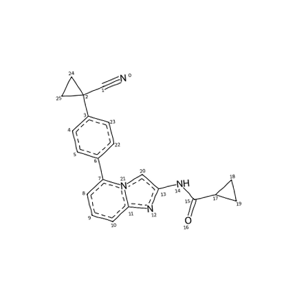 N#CC1(c2ccc(-c3cccc4nc(NC(=O)C5CC5)cn34)cc2)CC1